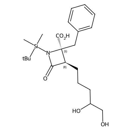 CC(C)(C)[Si](C)(C)N1C(=O)[C@H](CCCC(O)CO)[C@@]1(Cc1ccccc1)C(=O)O